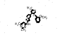 COc1ccccc1COc1cnc(C)cc1-c1ccn2nc(Nc3cc(C)nc(C)n3)cc2c1